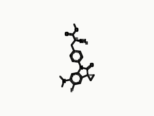 COC(=O)[C@@H](N)Cc1ccc(N2C(=O)C3(CC3)c3cc(F)c(N(C)C)cc32)cc1